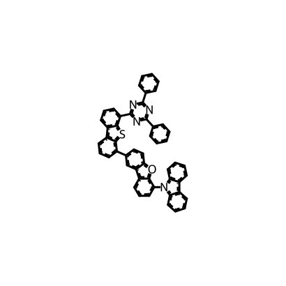 c1ccc(-c2nc(-c3ccccc3)nc(-c3cccc4c3sc3c(-c5ccc6oc7c(-n8c9ccccc9c9ccccc98)cccc7c6c5)cccc34)n2)cc1